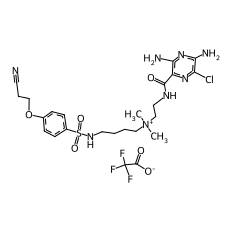 C[N+](C)(CCCCNS(=O)(=O)c1ccc(OCCC#N)cc1)CCNC(=O)c1nc(Cl)c(N)nc1N.O=C([O-])C(F)(F)F